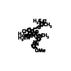 COCc1cccn2nc(-c3ccc4c(c3)c(N3CC(C)n5c(c(CCCOc6cc(C)c(Cl)c(C)c6)c6ccc(Cl)c(-c7c(C)nn(C)c7C)c65)C3=O)cn4C)nc12